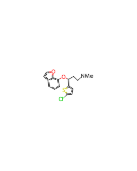 CNCCC(Oc1cccc2ccoc12)c1ccc(Cl)s1